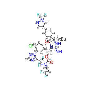 CC(C)(C)CC1(c2ccc(-c3cnn(C(F)F)c3)cc2)NC(=N)N([C@H](COC(=O)N[C@H]2CC2(F)F)c2ccc(Cl)c(-n3ncnc3C(F)F)c2)C1=O